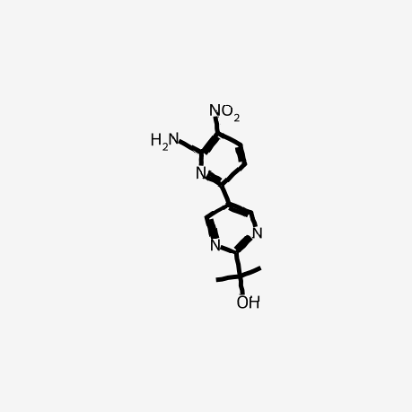 CC(C)(O)c1ncc(-c2ccc([N+](=O)[O-])c(N)n2)cn1